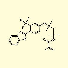 C=C(C)C(=O)OC(C)(C)CC(C)(C)Oc1ccc(-c2cc3ccccc3o2)c(C(F)(F)F)c1